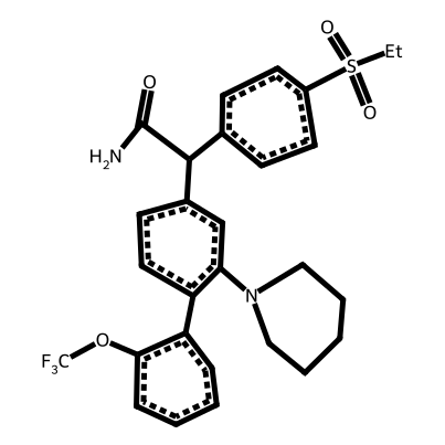 CCS(=O)(=O)c1ccc(C(C(N)=O)c2ccc(-c3ccccc3OC(F)(F)F)c(N3CCCCC3)c2)cc1